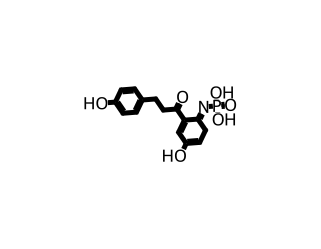 O=C(CCc1ccc(O)cc1)C1=CC(O)=CCC1=NP(=O)(O)O